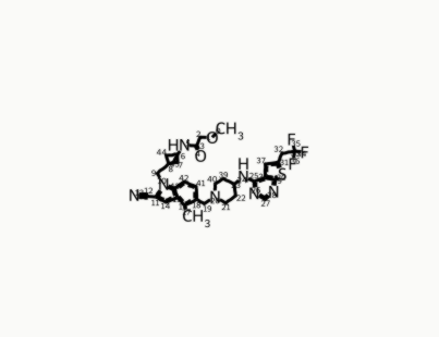 COCC(=O)NC12CC(Cn3c(C#N)cc4c(C)c(CN5CCC(Nc6ncnc7sc(CC(F)(F)F)cc67)CC5)ccc43)(C1)C2